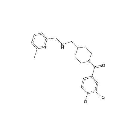 Cc1cccc(CNCC2CCN(C(=O)c3ccc(Cl)c(Cl)c3)CC2)n1